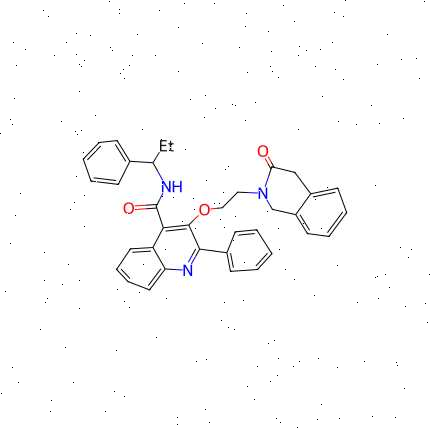 CCC(NC(=O)c1c(OCCN2Cc3ccccc3CC2=O)c(-c2ccccc2)nc2ccccc12)c1ccccc1